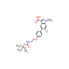 Cn1cc(C(=O)O)c2cc(-c3ccc(OCCNC(=O)OC(C)(C)C)cc3)c(Cl)cc21